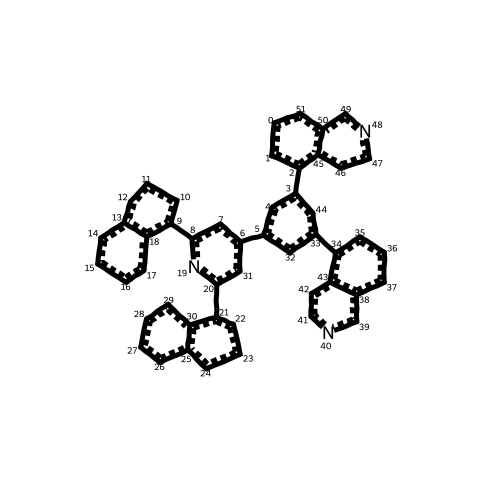 c1cc(-c2cc(-c3cc(-c4cccc5ccccc45)nc(-c4cccc5ccccc45)c3)cc(-c3cccc4cnccc34)c2)c2ccncc2c1